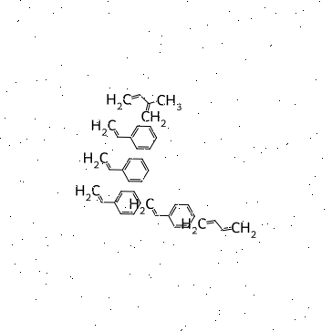 C=CC(=C)C.C=CC=C.C=Cc1ccccc1.C=Cc1ccccc1.C=Cc1ccccc1.C=Cc1ccccc1